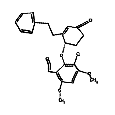 COc1cc(OC)c(C=O)c(O[C@H]2CCC(=O)C=C2CCc2ccccc2)c1Cl